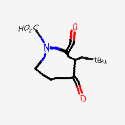 CC(C)(C)C1C(=O)CCN(C(=O)O)C1=O